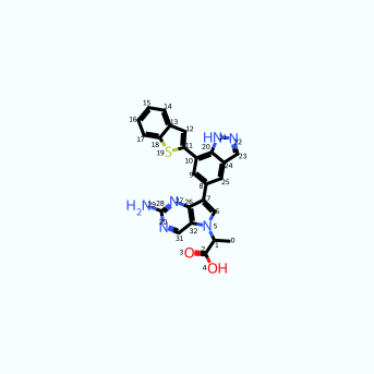 CC(C(=O)O)n1cc(-c2cc(-c3cc4ccccc4s3)c3[nH]ncc3c2)c2nc(N)ncc21